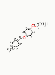 O=C(O)COc1ccc(OCc2ccc(C(F)(F)F)cc2)cc1